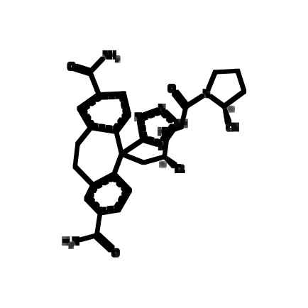 CC[C@@H](CC1(c2nn[nH]n2)c2ccc(C(N)=O)cc2CCc2cc(C(N)=O)ccc21)NCC(=O)N1CCC[C@H]1C#N